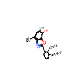 COc1cccc(-c2nc3c(C(C)(C)C)cc(C(C)(C)C)c(O)c3o2)c1OC